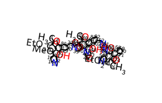 CCOC(=O)c1c(C)oc2c1c(C(OC)c1ccncc1)c(O)c1ccc(CCOC(=O)c3c(C)oc4c3c(C(c3ccncc3)N3CCOCC3)c(O)c3cc(CN5CCN(C(c6ccncc6)c6c(O)c7ccccc7c7oc(C)c(C(=O)OCC)c67)CC5)ccc34)cc12